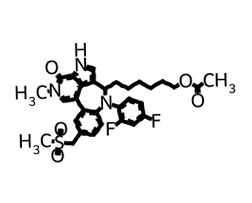 CC(=O)OCCCCCCC1c2c[nH]c3c(=O)n(C)cc(c23)-c2cc(CS(C)(=O)=O)ccc2N1c1ccc(F)cc1F